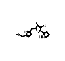 B=Cc1ccc(/C=C2\N=C(c3ccc[nH]3)C(CC)=C2C)[nH]1